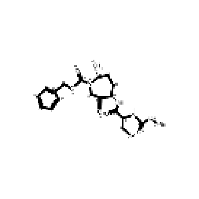 CC(C)C[C@H](NC(=O)OC(C)(C)C)C(=O)N[C@H]1CC[C@@H](C)N(C(=O)OCc2ccccc2)CC1=O